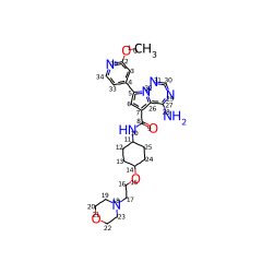 COc1cc(-c2cc(C(=O)NC3CCC(OCCN4CCOCC4)CC3)c3c(N)ncnn23)ccn1